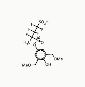 COCc1cc(OS(=O)(=O)C(C)(F)C(F)(F)C(F)(F)S(=O)(=O)O)cc(COC)c1O